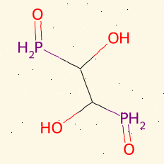 O=[PH2]C(O)C(O)[PH2]=O